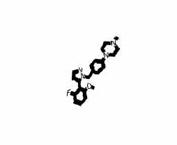 COc1cccc(F)c1-c1ccnn1Cc1ccc(N2CCN(C)CC2)cc1